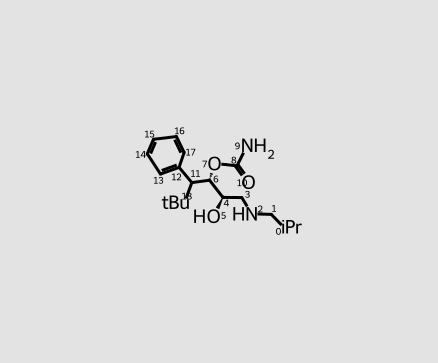 CC(C)CNC[C@@H](O)[C@@H](OC(N)=O)C(c1ccccc1)C(C)(C)C